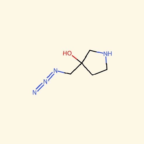 [N-]=[N+]=NCC1(O)CCNC1